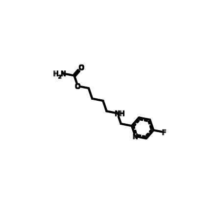 NC(=O)OCCCCNCc1ccc(F)cn1